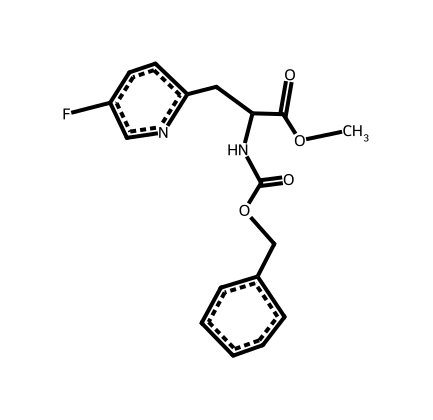 COC(=O)C(Cc1ccc(F)cn1)NC(=O)OCc1ccccc1